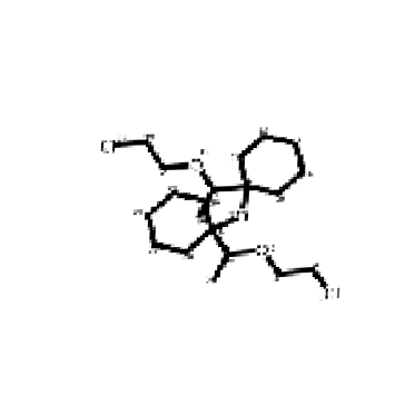 CC(OCCCl)C1(OC2(C(C)OCCCl)CCCCC2)CCCCC1